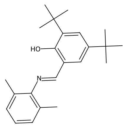 Cc1cccc(C)c1N=Cc1cc(C(C)(C)C)cc(C(C)(C)C)c1O